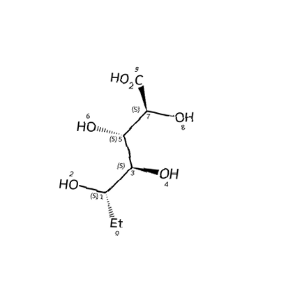 CC[C@H](O)[C@H](O)[C@H](O)[C@H](O)C(=O)O